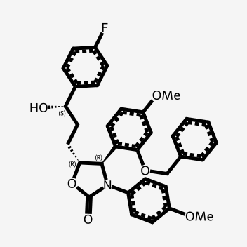 COc1ccc(N2C(=O)O[C@H](CC[C@H](O)c3ccc(F)cc3)[C@H]2c2ccc(OC)cc2OCc2ccccc2)cc1